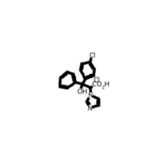 O=C(O)C(n1ccnc1)C(O)(c1ccccc1)c1ccc(Cl)cc1Cl